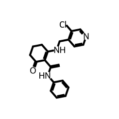 C=C(Nc1ccccc1)C1=C(NCc2ccncc2Cl)CCCC1=O